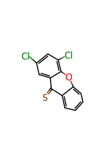 S=c1c2ccccc2oc2c(Cl)cc(Cl)cc12